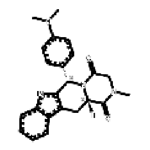 CN1CC(=O)N2[C@@H](c3ccc(N(C)C)cc3)c3[nH]c4ccccc4c3C[C@H]2C1=O